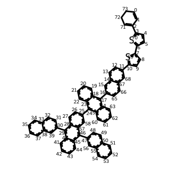 C1=CC(c2ccc(-c3ccc(-c4ccc5cc(-c6c7ccccc7c(-c7ccc8c(-c9ccc%10ccccc%10c9)c9ccccc9c(-c9ccc%10ccccc%10c9)c8c7)c7ccccc67)ccc5c4)s3)s2)=CCC1